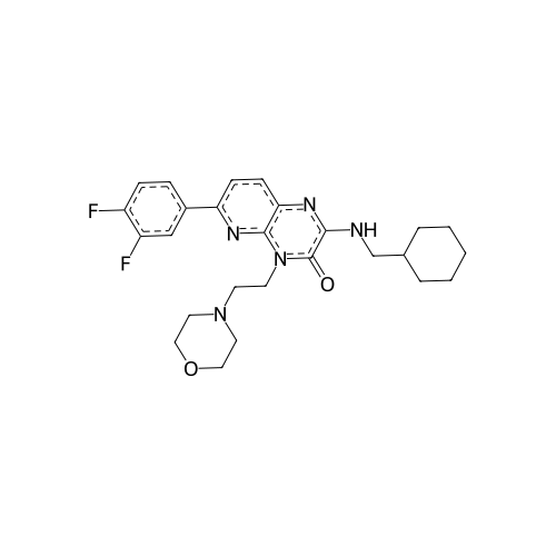 O=c1c(NCC2CCCCC2)nc2ccc(-c3ccc(F)c(F)c3)nc2n1CCN1CCOCC1